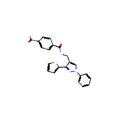 O=C(O)c1ccc(C(=O)NCc2cn(-c3ccccc3)nc2-c2cccs2)cc1